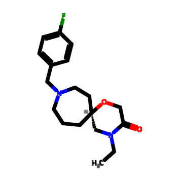 CCN1C[C@@]2(CCCN(Cc3ccc(F)cc3)CC2)OCC1=O